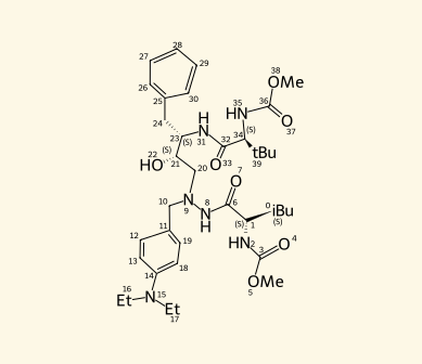 CC[C@H](C)[C@H](NC(=O)OC)C(=O)NN(Cc1ccc(N(CC)CC)cc1)C[C@H](O)[C@H](Cc1ccccc1)NC(=O)[C@@H](NC(=O)OC)C(C)(C)C